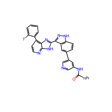 CCCC(=O)Nc1cncc(-c2ccc3[nH]nc(-c4nc5c(-c6ccccc6F)ccnc5[nH]4)c3c2)c1